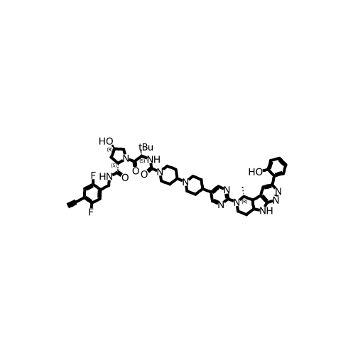 C#Cc1cc(F)c(CNC(=O)[C@@H]2C[C@@H](O)CN2C(=O)[C@@H](NC(=O)N2CCC(N3CCC(c4cnc(N5CCC6Nc7nnc(-c8ccccc8O)cc7C6[C@H]5C)nc4)CC3)CC2)C(C)(C)C)cc1F